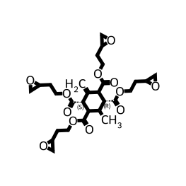 C=C1C(C(=O)OCCC2CO2)[C@H](C(=O)OCCC2CO2)C(C)C(C(=O)OCCC2CO2)[C@@H]1C(=O)OCCC1CO1